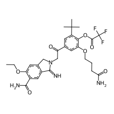 CCOc1cc2c(cc1C(N)=O)C(=N)N(CC(=O)c1cc(OCCCC(N)=O)c(OC(=O)C(F)(F)F)c(C(C)(C)C)c1)C2